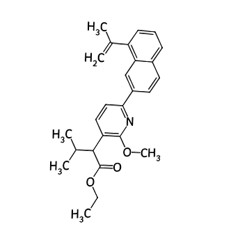 C=C(C)c1cccc2ccc(-c3ccc(C(C(=O)OCC)C(C)C)c(OC)n3)cc12